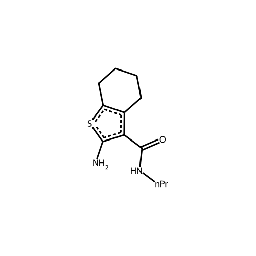 CCCNC(=O)c1c(N)sc2c1CCCC2